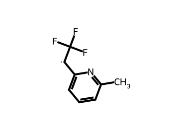 Cc1cccc([CH]C(F)(F)F)n1